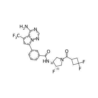 Nc1ncnn2c(-c3cccc(C(=O)N[C@@H]4CN(C(=O)C5CC(F)(F)C5)C[C@@H]4F)c3)cc(C(F)(F)F)c12